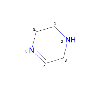 [C]1CNCC=N1